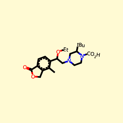 CCOC(CN1CCN(C(=O)O)C(C(C)(C)C)C1)c1ccc2c(c1C)COC2=O